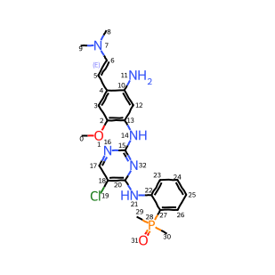 COc1cc(/C=C/N(C)C)c(N)cc1Nc1ncc(Cl)c(Nc2ccccc2P(C)(C)=O)n1